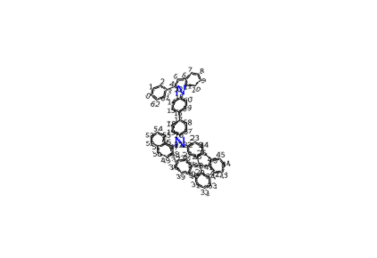 c1ccc(-c2cc3ccccc3n2-c2ccc(-c3ccc(N(c4ccc5c(c4)C(c4ccccc4)(c4ccccc4)c4ccccc4-5)c4cccc5ccccc45)cc3)cc2)cc1